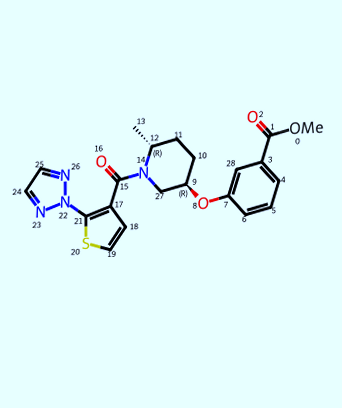 COC(=O)c1cccc(O[C@@H]2CC[C@@H](C)N(C(=O)c3ccsc3-n3nccn3)C2)c1